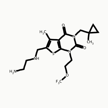 Cc1c(CNCCN)sc2c1c(=O)n(CC1(C)CC1)c(=O)n2CCOC(F)(F)F